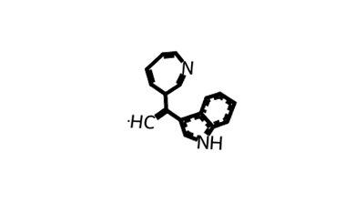 [CH]=C(c1c[nH]c2ccccc12)C1C=CC=CN=C1